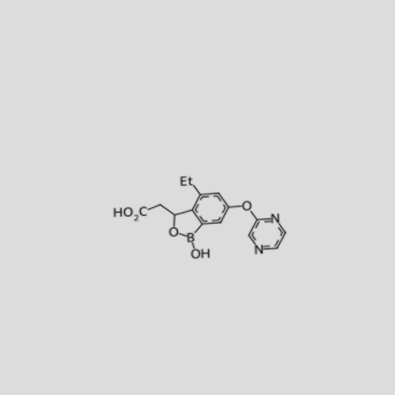 CCc1cc(Oc2cnccn2)cc2c1C(CC(=O)O)OB2O